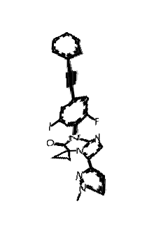 Cn1ccc(-c2cnc3n2C2(CC2)C(=O)N3c2c(F)cc(C#Cc3ccccc3)cc2I)n1